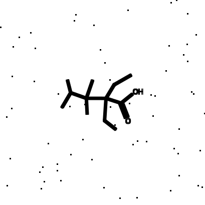 CCC(CC)(C(=O)O)C(C)(C)C(C)C